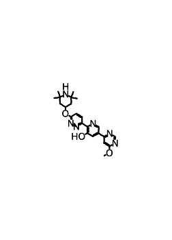 COc1cc(-c2cnc(-c3ccc(OC4CC(C)(C)NC(C)(C)C4)nn3)c(O)c2)ncn1